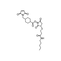 CCCCCNC(=O)CCSC1CC(=O)N(OC(=O)C2CCC(CN3C(=O)C=CC3=O)CC2)C1=O